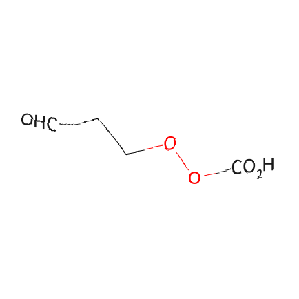 O=CCCOOC(=O)O